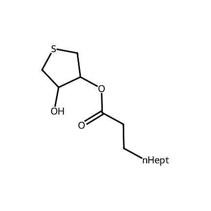 CCCCCCCCCC(=O)OC1CSCC1O